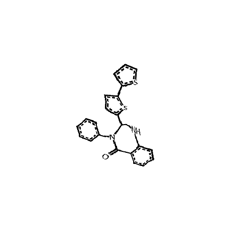 O=C1c2ccccc2NC(c2ccc(-c3cccs3)s2)N1c1ccccc1